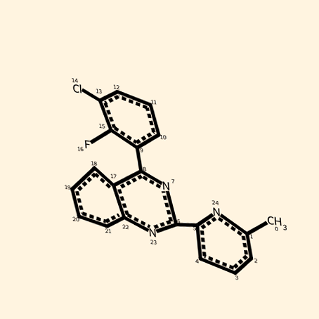 Cc1cccc(-c2nc(-c3cccc(Cl)c3F)c3ccccc3n2)n1